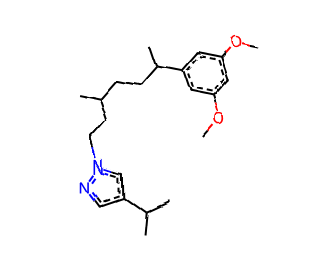 COc1cc(OC)cc(C(C)CCC(C)CCn2cc(C(C)C)cn2)c1